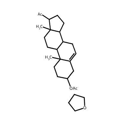 C1CCOC1.CC(=O)OC1CCC2(C)C(=CCC3C2CCC2(C)C(C(C)=O)CCC32)C1